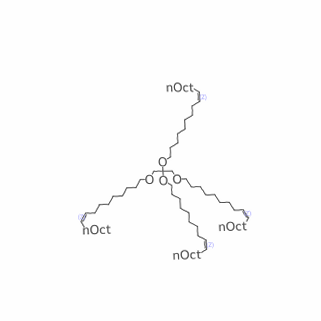 CCCCCCCC/C=C\CCCCCCCCOCC(COCCCCCCCC/C=C\CCCCCCCC)(OCCCCCCCC/C=C\CCCCCCCC)OCCCCCCCC/C=C\CCCCCCCC